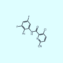 CC(=O)c1c(F)cc(F)cc1NC(=O)c1nc(C#N)ccc1Cl